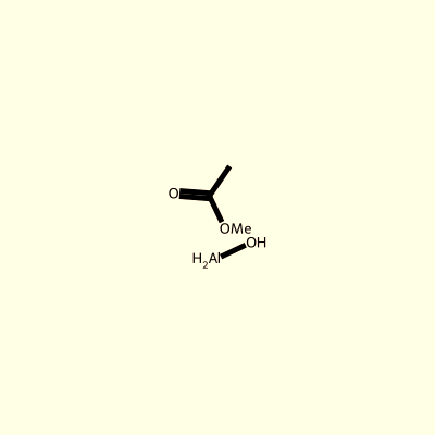 COC(C)=O.[OH][AlH2]